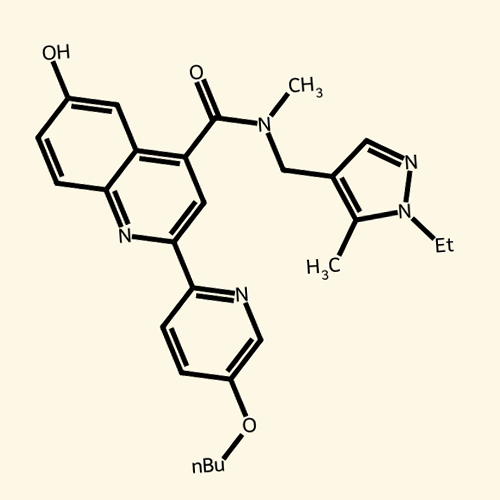 CCCCOc1ccc(-c2cc(C(=O)N(C)Cc3cnn(CC)c3C)c3cc(O)ccc3n2)nc1